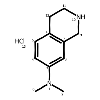 CN(C)c1ccc2c(c1)CNCC2.Cl